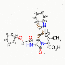 C=C(C)C(C(=O)O)N1C(=O)C(NC(=O)COc2ccccc2)C1SSc1nc2ccccc2s1